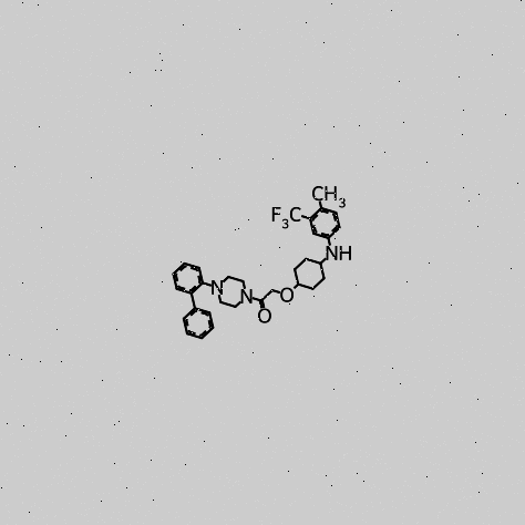 Cc1ccc(NC2CCC(OCC(=O)N3CCN(c4ccccc4-c4ccccc4)CC3)CC2)cc1C(F)(F)F